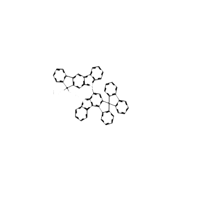 CC1(C)c2ccccc2-c2cc3c4ccccc4n(-c4cc5c(c6c4sc4ccccc46)-c4ccccc4C54c5ccccc5-c5ccccc54)c3cc21